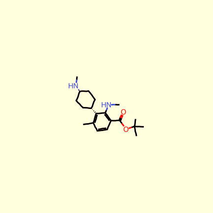 CNc1c(C(=O)OC(C)(C)C)ccc(C)c1[C@H]1CC[C@@H](NC)CC1